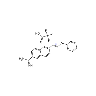 N=C(N)c1ccc2cc(/C=C/Sc3ccccc3)ccc2c1.O=C(O)C(F)(F)F